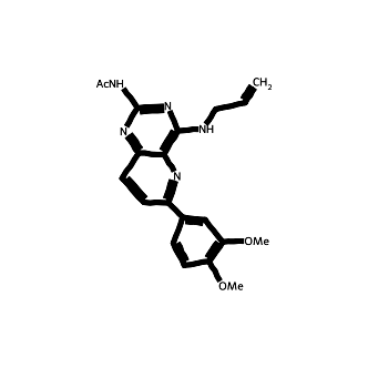 C=CCNc1nc(NC(C)=O)nc2ccc(-c3ccc(OC)c(OC)c3)nc12